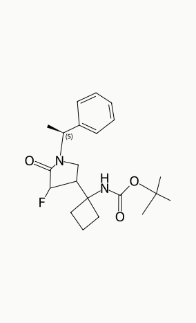 C[C@@H](c1ccccc1)N1CC(C2(NC(=O)OC(C)(C)C)CCC2)C(F)C1=O